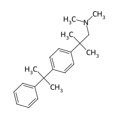 CN(C)CC(C)(C)c1ccc(C(C)(C)c2ccccc2)cc1